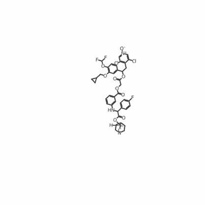 O=C(COC(=O)c1cccc(NC(C(=O)O[C@H]2CN3CCC2CC3)c2ccc(F)cc2)c1)OC(Cc1c(Cl)c[n+]([O-])cc1Cl)c1ccc(OC(F)F)c(OCC2CC2)c1